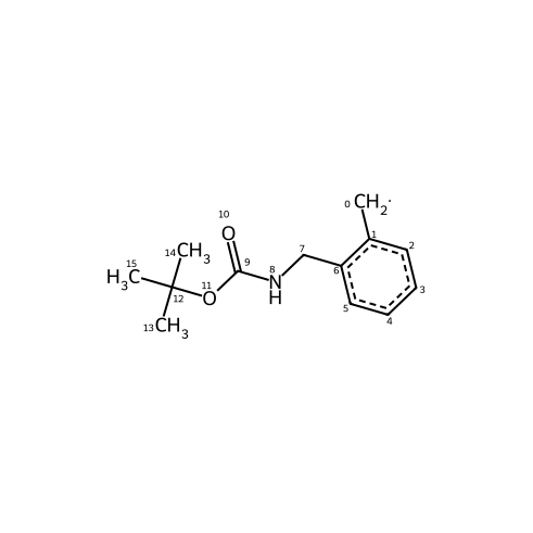 [CH2]c1ccccc1CNC(=O)OC(C)(C)C